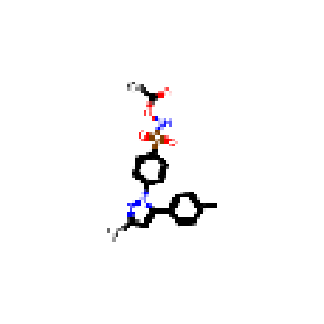 Cc1ccc(-c2cc(C(F)(F)F)nn2-c2ccc(S(=O)(=O)NOC(=O)C(C)(C)C)cc2)cc1